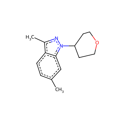 Cc1ccc2c(C)nn(C3CCOCC3)c2c1